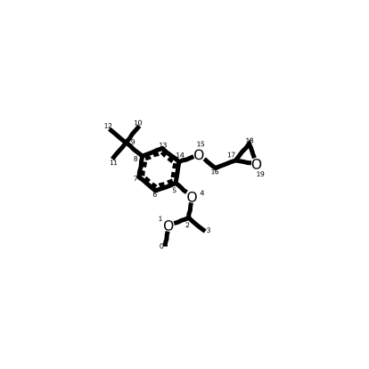 COC(C)Oc1ccc(C(C)(C)C)cc1OCC1CO1